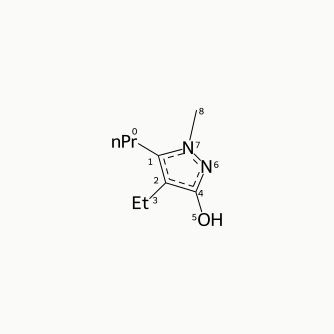 CCCc1c(CC)c(O)nn1C